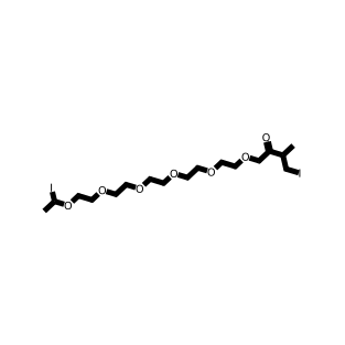 CC(I)OCCOCCOCCOCCOCCOCC(=O)C(C)CI